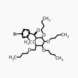 CCCCOCC1OC(C(=O)c2ccc(Br)cc2C)C(OCCCC)C(OCCCC)C1OCCCC